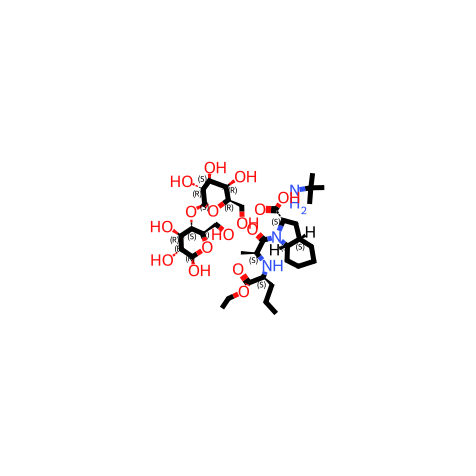 CC(C)(C)N.CCC[C@H](N[C@@H](C)C(=O)N1[C@H](C(=O)O)C[C@@H]2CCCC[C@@H]21)C(=O)OCC.OC[C@H]1O[C@@H](O[C@H]2[C@H](O)[C@@H](O)[C@H](O)O[C@@H]2CO)[C@H](O)[C@@H](O)[C@H]1O